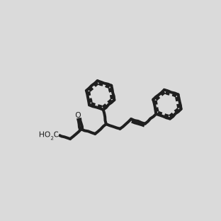 O=C(O)CC(=O)CC(C/C=C/c1ccccc1)c1ccccc1